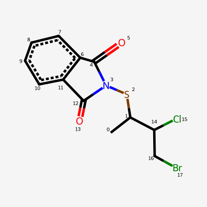 CC(SN1C(=O)c2ccccc2C1=O)C(Cl)CBr